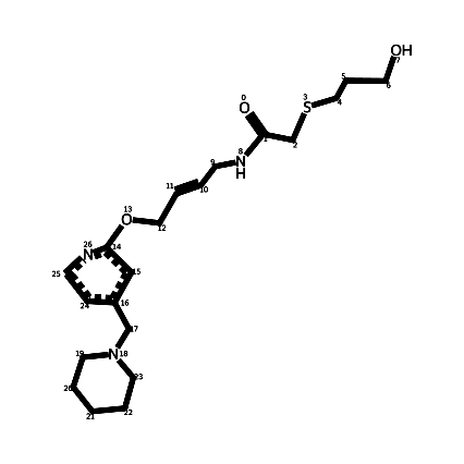 O=C(CSCCCO)NCC=CCOc1cc(CN2CCCCC2)ccn1